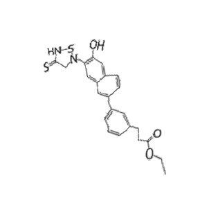 CCOC(=O)CCc1cccc(-c2ccc3cc(O)c(N4CC(=S)NS4)cc3c2)c1